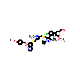 COC(=O)c1c(CCCO)c2ccc(Cl)c(-c3c(C)nn(C45CC(C4)C5)c3CSCc3cc(CSc4cc(OCc5ccc(OC)cc5)c5ncccc5c4)n(C)n3)c2n1C